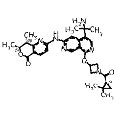 C[C@@H]1OC(=O)c2ccc(Nc3cc4c(C(C)(C)N)cnc(OC5CN(C(=O)[C@H]6CC6(C)C)C5)c4cn3)nc2[C@H]1C